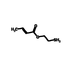 CC=CC(=O)OCC[SiH3]